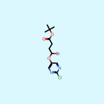 CC(C)(C)OC(=O)CCC(Br)Oc1cnc(Cl)nc1